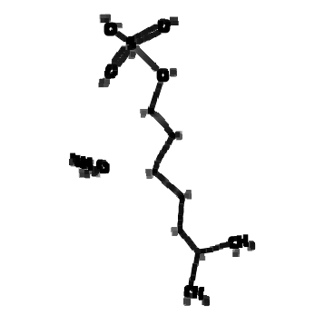 CC(C)CCCCCOS(=O)(=O)[O-].O.[Na+]